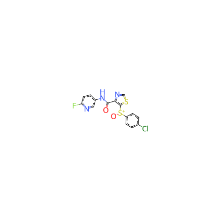 O=C(Nc1ccc(F)nc1)c1ncsc1[S+]([O-])c1ccc(Cl)cc1